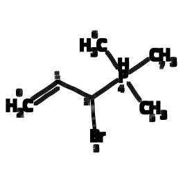 C=CC(Br)[PH](C)(C)C